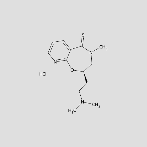 CN(C)CC[C@@H]1CN(C)C(=S)c2cccnc2O1.Cl